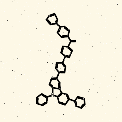 C=C(c1ccc(-c2ccccc2)cc1)c1ccc(-c2ccc(-c3ccc4c(c3)c3cc(-c5ccccc5)ccc3n4-c3ccccc3)cc2)cc1